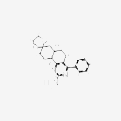 C[C@@H]1[C@H]2CCc3c(-c4ccccc4)nc(N)nc3[C@]2(C)CCC12OCCO2